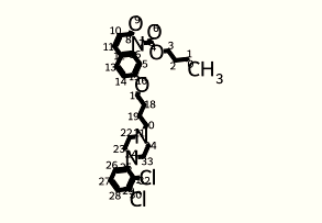 CCCCOC(=O)n1c(=O)ccc2ccc(OCCCCN3CCN(c4cccc(Cl)c4Cl)CC3)cc21